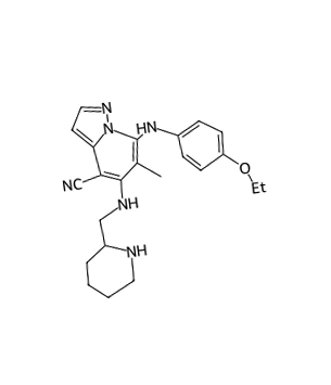 CCOc1ccc(Nc2c(C)c(NCC3CCCCN3)c(C#N)c3ccnn23)cc1